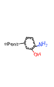 CCCCCc1ccc(N)c(O)c1